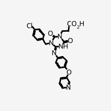 O=C(O)CCn1c(=O)[nH]/c(=N\c2ccc(Oc3cccnc3)cc2)n(Cc2ccc(Cl)cc2)c1=O